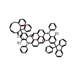 C=C1/C=C\C=C/Cc2ccccc2C1(c1ccccc1)c1cc(CC)c(N(c2ccccc2)c2ccc3ccc4c(N(c5ccccc5)c5c(CC)cc(C6(c7ccccc7)c7ccccc7-c7ccccc76)cc5CC)ccc5ccc2c3c54)c(CC)c1